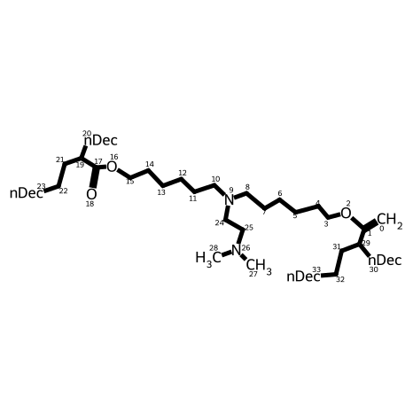 C=C(OCCCCCCN(CCCCCCOC(=O)C(CCCCCCCCCC)CCCCCCCCCCCC)CCN(C)C)C(CCCCCCCCCC)CCCCCCCCCCCC